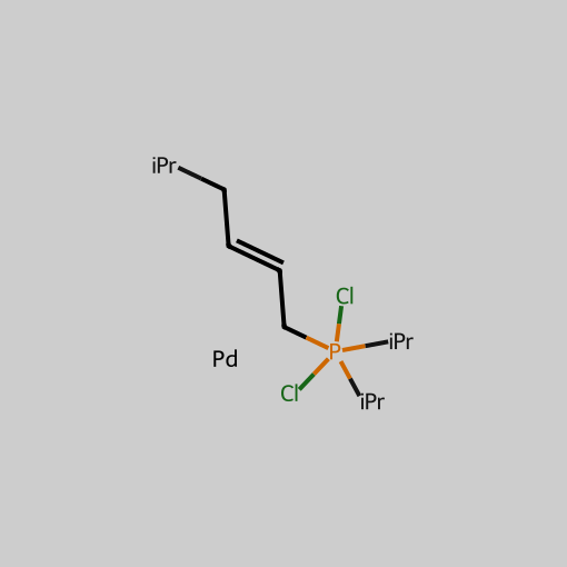 CC(C)CC=CCP(Cl)(Cl)(C(C)C)C(C)C.[Pd]